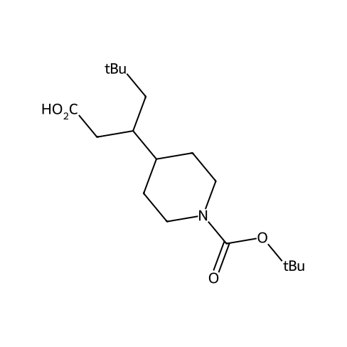 CC(C)(C)CC(CC(=O)O)C1CCN(C(=O)OC(C)(C)C)CC1